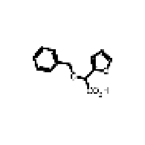 O=C(O)C(OCc1ccccc1)c1ccco1